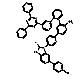 CCC1Nc2ccc(-c3ccc(N)cc3)cc2N1c1ccc(-c2ccc(N)c(-c3ccccc3-c3cccc(-c4nc(-c5ccccc5)nc(-c5ccccc5)n4)c3)c2)cc1